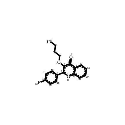 O=c1c(OCCCCl)c(-c2ccc(F)cc2)oc2ccccc12